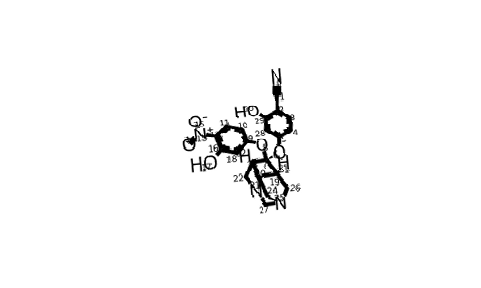 N#Cc1ccc(O[C@]2(Oc3ccc([N+](=O)[O-])c(O)c3)[C@H]3C[N@]4C[C@H]2C[N@](C3)C4)cc1O